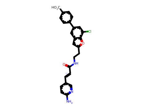 Nc1ccc(/C=C/C(=O)NCCc2cc3cc(-c4ccc(C(=O)O)cc4)cc(Cl)c3o2)cn1